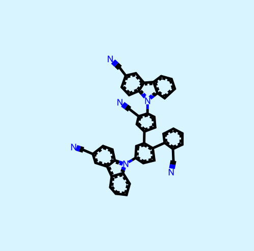 N#Cc1ccc2c(c1)c1ccccc1n2-c1ccc(-c2ccccc2C#N)c(-c2ccc(-n3c4ccccc4c4cc(C#N)ccc43)c(C#N)c2)c1